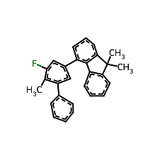 Cc1c(F)cc(-c2cccc3c2-c2ccccc2C3(C)C)cc1-c1ccccc1